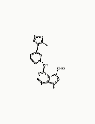 Cc1nnnn1-c1cccc(Nc2ncnc3[nH]cc(C=O)c23)c1